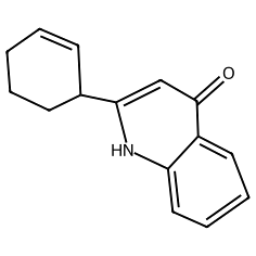 O=c1cc(C2C=CCCC2)[nH]c2ccccc12